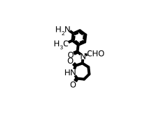 Cc1c(N)cccc1C(=O)N(C=O)C1CCCC(=O)NC1=O